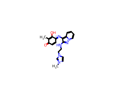 CC1=C(O)/C(=N/c2c(NCCn3cc[n+](C)c3)nn3ccccc23)C=CC1=O